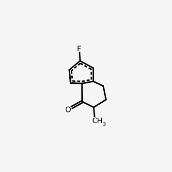 CC1CCc2cc(F)ccc2C1=O